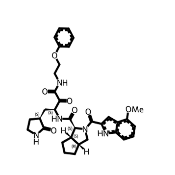 COc1cccc2[nH]c(C(=O)N3C[C@@H]4CCC[C@@H]4[C@H]3C(=O)N[C@@H](C[C@@H]3CCNC3=O)C(=O)C(=O)NCCOc3ccccc3)cc12